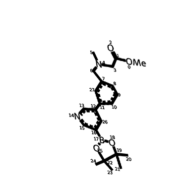 COC(=O)CN(C)Cc1cccc(-c2cncc(B3OC(C)(C)C(C)(C)O3)c2)c1